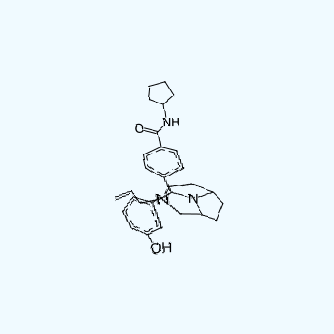 C=CCN1CCC2CCC(C1)N2C(c1ccc(C(=O)NC2CCCC2)cc1)c1cccc(O)c1